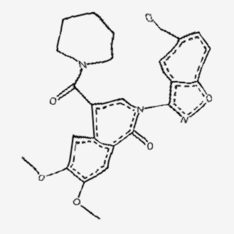 COc1cc2c(C(=O)N3CCCCC3)cn(-c3noc4ccc(Cl)cc34)c(=O)c2cc1OC